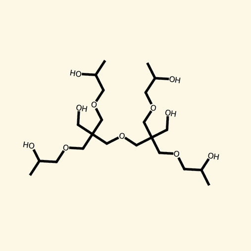 CC(O)COCC(CO)(COCC(C)O)COCC(CO)(COCC(C)O)COCC(C)O